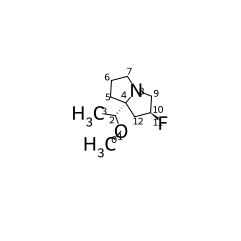 COC(C)[C@]12CCCN1C[C@@H](F)C2